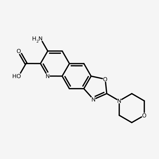 Nc1cc2cc3oc(N4CCOCC4)nc3cc2nc1C(=O)O